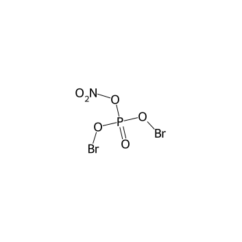 O=[N+]([O-])OP(=O)(OBr)OBr